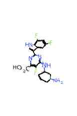 N[C@H]1CCC[C@@H](Nc2nc(-c3c[nH]c4c(F)cc(F)cc34)nc(C(=O)O)c2F)C1